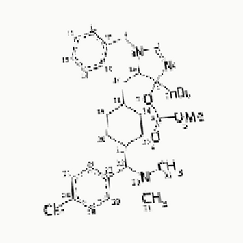 CCCCC1(OC(=O)OC)N=CN(Cc2ccccc2)C1CC1CCC(C(c2ccc(Cl)cc2)N(C)C)CC1